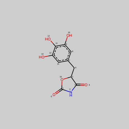 O=C1NC(=O)C(Cc2cc(O)c(O)c(O)c2)O1